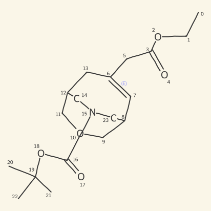 CCOC(=O)C/C1=C/C2COCC(C1)CN(C(=O)OC(C)(C)C)C2